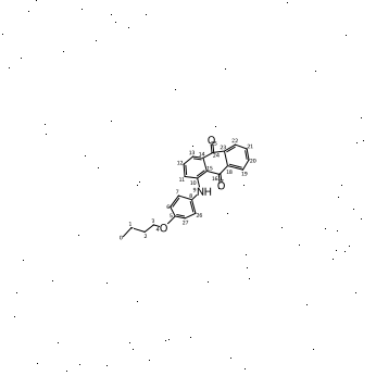 CCCCOc1ccc(Nc2cccc3c2C(=O)c2ccccc2C3=O)cc1